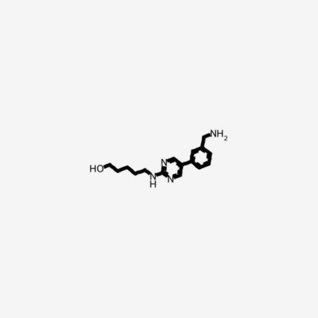 NCc1cccc(-c2cnc(NCCCCCO)nc2)c1